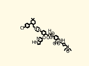 CCS(=O)(CC)=NC1CC(CNc2ccc(S(=O)(=O)NC(=O)c3ccc(N4CCN(CC5=C(c6ccc(Cl)cc6)CC(C)(C)CC5)CC4)cc3Oc3cnc4[nH]ccc4c3)cc2[N+](=O)[O-])C1